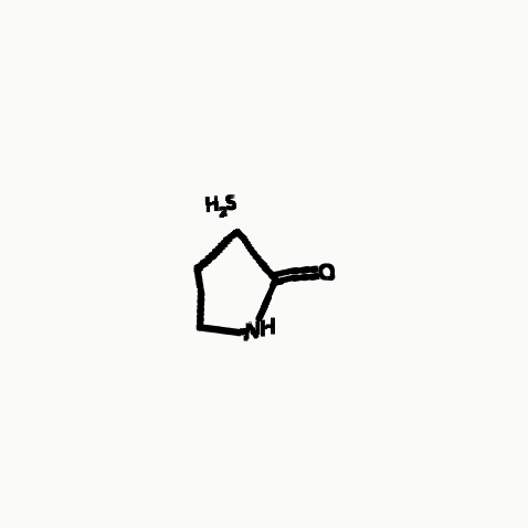 O=C1CCCN1.S